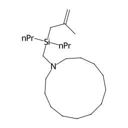 C=C(C)C[Si](CCC)(CCC)CN1CCCCCCCCCCCC1